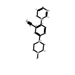 CN1CCN(c2ccc(N3C=NC=CC3)c(C#N)c2)CC1